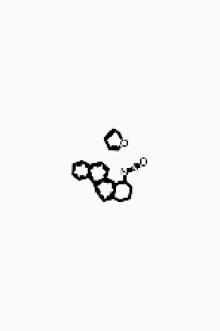 C1=CCOC=C1.O=C=NC1CCCc2ccc3c(ccc4ccccc43)c21